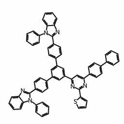 c1ccc(-c2ccc(-c3cc(-c4cc(-c5ccc(-c6nc7ccccc7n6-c6ccccc6)cc5)cc(-c5ccc(-c6nc7ccccc7n6-c6ccccc6)cc5)c4)nc(-c4cccs4)n3)cc2)cc1